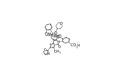 COc1ccccc1C(Cn1c(=O)n(-c2cc(C(=O)O)ccc2OC)c(=O)c2c(C)c(-c3ncco3)sc21)OC1CCOCC1